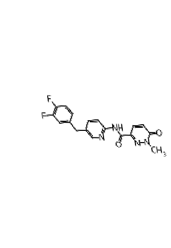 Cn1nc(C(=O)Nc2ccc(Cc3ccc(F)c(F)c3)cn2)ccc1=O